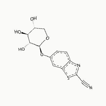 N#Cc1nc2ccc(O[C@@H]3OC[C@@H](O)[C@H](O)[C@H]3O)cc2s1